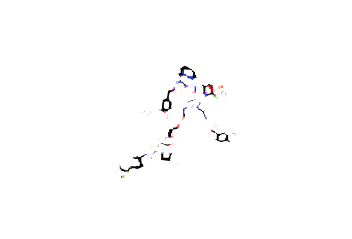 COc1cc(CC(=O)N[C@@H](Cc2ccccc2)C(=O)N[C@@H](Cc2ccc(C(F)(F)P(=O)(O)O)cc2)C(=O)N[C@@H](CCCCNC(=O)c2ccc(C)c(Br)c2)C(=O)NCCOCCC(=O)N[C@H](C(=O)N2C[C@H](O)C[C@H]2C(=O)NCc2ccc(-c3scnc3C)cc2)C(C)(C)C)ccc1O